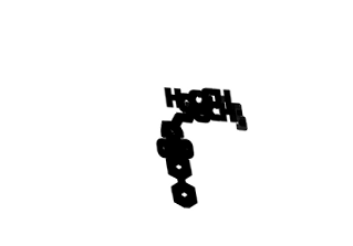 CC(C)(C)OC(=O)C=Cc1ccn(S(=O)(=O)c2ccc(-c3ccccc3)cc2)c1